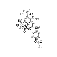 CCC(C)(C)c1cc(C(C)(C)CC)c(OC(C)C)c(C=C(OC)C(=O)c2ccc(OC(=O)C(C)(C)C)cc2)c1OC(=O)C(C)(C)C